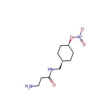 NCCC(=O)NC[C@H]1CC[C@@H](O[N+](=O)[O-])CC1